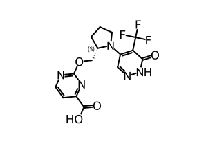 O=C(O)c1ccnc(OC[C@@H]2CCCN2c2cn[nH]c(=O)c2C(F)(F)F)n1